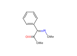 CON=C(C(=O)OC)c1ccccc1